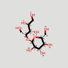 OC[C@H](O)[C@H](O)[C@@H](CO)O[C@H]1O[C@H](CO)[C@@H](O)[C@H](O)[C@H]1O